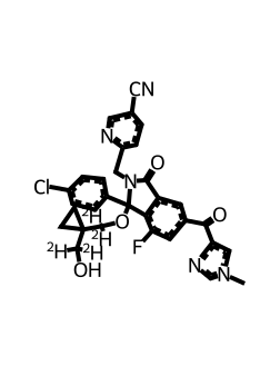 [2H]C([2H])(O)C1(C([2H])([2H])OC2(c3ccc(Cl)cc3)c3c(F)cc(C(=O)c4cn(C)cn4)cc3C(=O)N2Cc2ccc(C#N)cn2)CC1